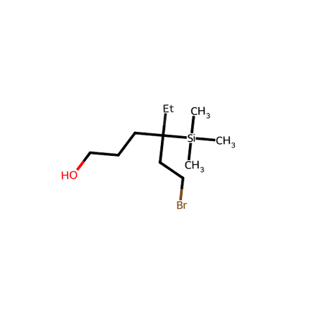 CCC(CCBr)(CCCO)[Si](C)(C)C